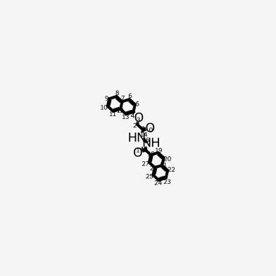 O=C(COc1ccc2ccccc2c1)NNC(=O)c1ccc2ccccc2c1